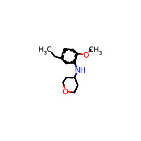 CCc1ccc(OC)c(NC2CCOCC2)c1